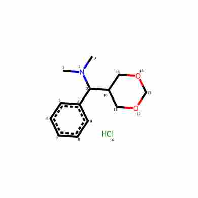 CN(C)C(c1ccccc1)C1COCOC1.Cl